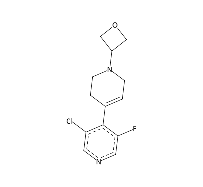 Fc1cncc(Cl)c1C1=CCN(C2COC2)CC1